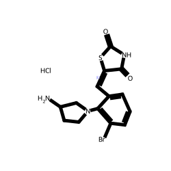 Cl.NC1CCN(c2c(Br)cccc2/C=C2/SC(=O)NC2=O)C1